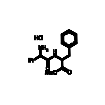 COC(=O)C(Cc1ccccc1)NC(=O)C(N)C(C)C.Cl